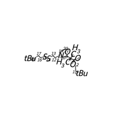 CC(C)(C)CCOC(=O)C(C)(C)C1CN(CCSSCCC(C)(C)C)CCO1